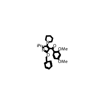 COc1ccc(C(=O)c2c(OCc3ccccc3)nn(C(C)C)c2N2CCCCC2)c(OC)c1